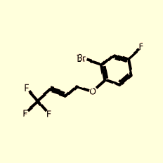 Fc1ccc(OCC=CC(F)(F)F)c(Br)c1